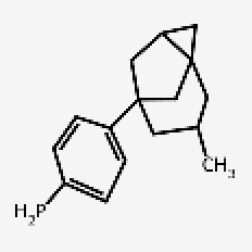 CC1CC2(c3ccc(P)cc3)CC3CC3(C1)C2